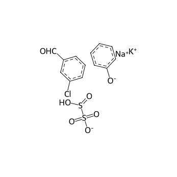 O=Cc1cccc(Cl)c1.O=S(O)S(=O)(=O)[O-].[K+].[Na+].[O-]c1ccccc1